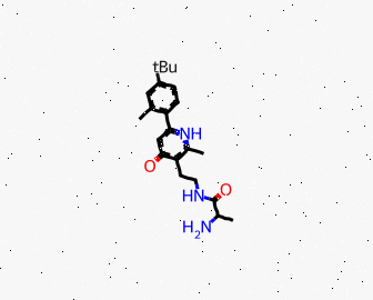 Cc1cc(C(C)(C)C)ccc1-c1cc(=O)c(CCNC(=O)C(C)N)c(C)[nH]1